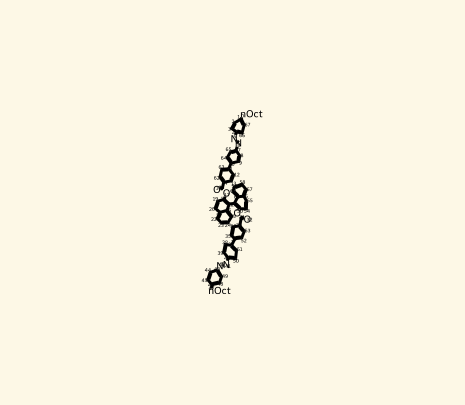 CCCCCCCCc1ccc(N=Nc2ccc(-c3ccc(C(=O)Oc4ccc5ccccc5c4-c4c(OC(=O)c5ccc(-c6ccc(N=Nc7ccc(CCCCCCCC)cc7)cc6)cc5)ccc5ccccc45)cc3)cc2)cc1